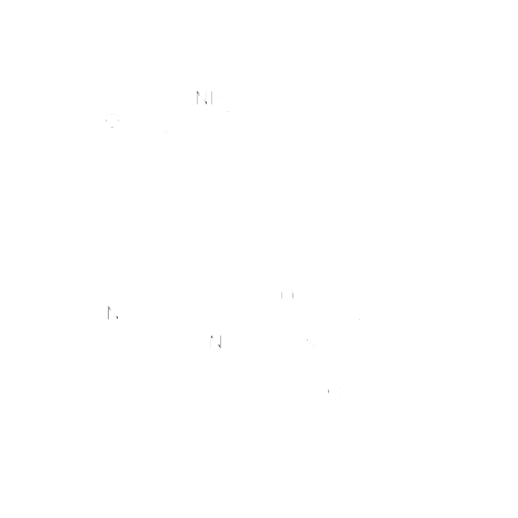 NC(=O)c1ccc2c(c1)ncc1ccc(S(=O)(=O)C3CC3)n12